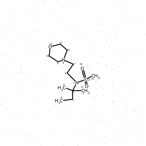 CCC(C)(C)N(CCN1CCOCC1)S(C)(=O)=O